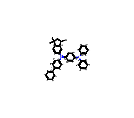 CC1CC(C)(C)c2ccc(N(c3ccc(-c4ccccc4)cc3)c3ccc(N(c4ccccc4)c4ccccc4)cc3)cc21